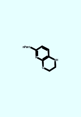 CCCCCc1ccc2c(n1)OCCN2